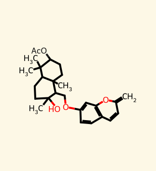 C=C1C=Cc2ccc(OCC3C(C)(O)CCC4C(C)(C)C(OC(C)=O)CCC34C)cc2O1